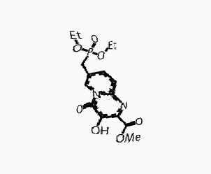 CCOP(=O)(Cc1ccc2nc(C(=O)OC)c(O)c(=O)n2c1)OCC